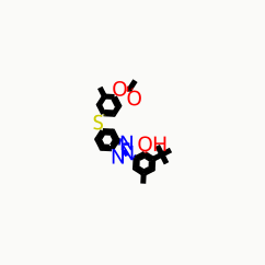 CC(=O)OC1=CC=C(Sc2ccc3nn(-c4cc(C)cc(C(C)(C)C)c4O)nc3c2)CC1C